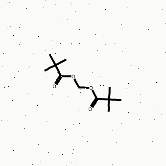 CC(C)(C)C(=O)OCOC(=O)C(C)(C)C